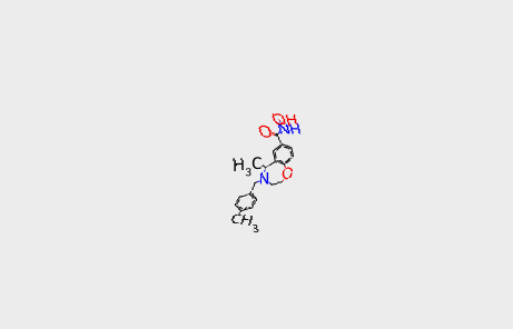 Cc1ccc(CN2CCOc3ccc(C(=O)NO)cc3C2C)cc1